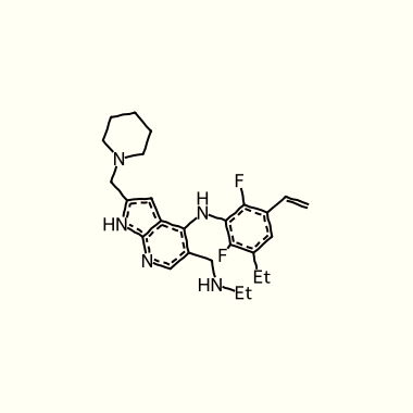 C=Cc1cc(CC)c(F)c(Nc2c(CNCC)cnc3[nH]c(CN4CCCCC4)cc23)c1F